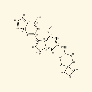 COc1nc(NC2CCC3(CCO3)CC2)nc2[nH]cc(-c3cc(F)c4nccn4c3)c12